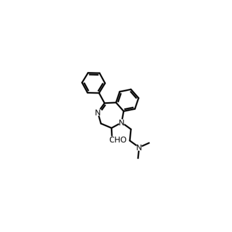 CN(C)CCN1c2ccccc2C(c2ccccc2)=NCC1C=O